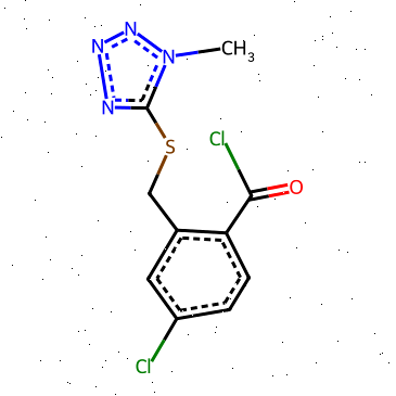 Cn1nnnc1SCc1cc(Cl)ccc1C(=O)Cl